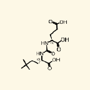 CC(C)(C)CC[C@H](NC(=O)N[C@@H](CCC(=O)O)C(=O)O)C(=O)O